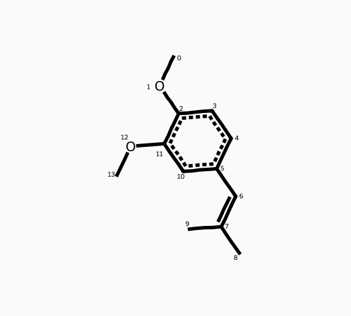 COc1ccc(C=C(C)C)cc1OC